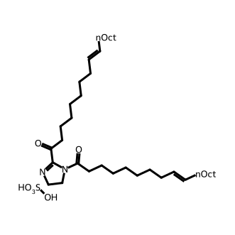 CCCCCCCCC=CCCCCCCCC(=O)C1=NCCN1C(=O)CCCCCCCC=CCCCCCCCC.O=S(=O)(O)O